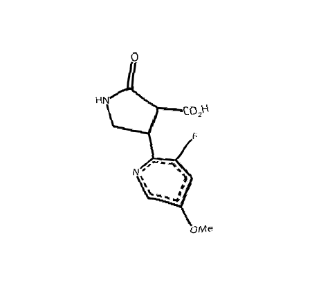 COc1cnc(C2CNC(=O)C2C(=O)O)c(F)c1